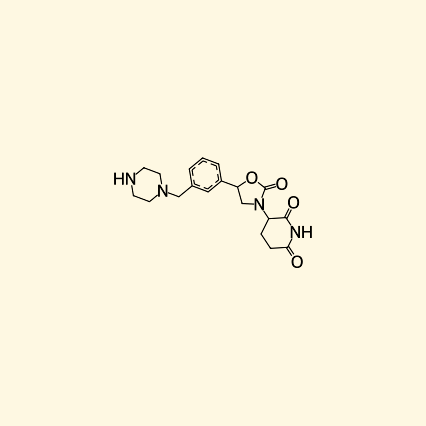 O=C1CCC(N2CC(c3cccc(CN4CCNCC4)c3)OC2=O)C(=O)N1